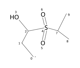 [CH2]CC(O)S(=O)(=O)C(C)C